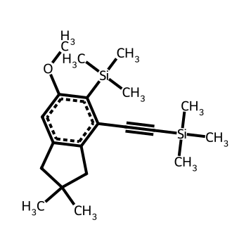 COc1cc2c(c(C#C[Si](C)(C)C)c1[Si](C)(C)C)CC(C)(C)C2